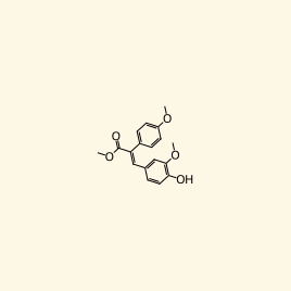 COC(=O)/C(=C/c1ccc(O)c(OC)c1)c1ccc(OC)cc1